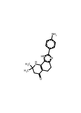 CC1(C)CC(=O)C2=C(N1)c1[nH]c(-c3ccc(N)cc3)nc1CC2